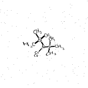 C[Si](C)(C)[N]([Cs])[Si](C)(C)C.[Cs]